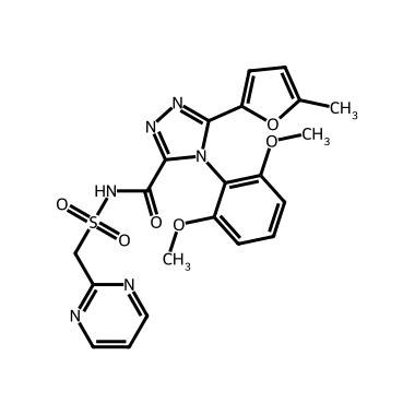 COc1cccc(OC)c1-n1c(C(=O)NS(=O)(=O)Cc2ncccn2)nnc1-c1ccc(C)o1